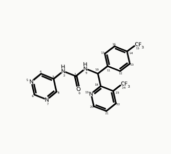 O=C(Nc1cncnc1)NC(c1ccc(C(F)(F)F)cc1)c1ncccc1C(F)(F)F